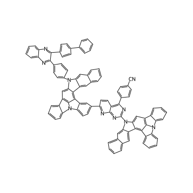 N#Cc1ccc(-c2nc(-n3c4cc5ccccc5cc4c4c5c6ccccc6n6c7ccccc7c(cc43)c56)nc3nc(-c4ccc5c(c4)c4c6c7cc8ccccc8cc7n(-c7ccc(-c8nc9ccccc9nc8-c8ccc(-c9ccccc9)cc8)cc7)c6cc6c7ccccc7n5c64)ccc23)cc1